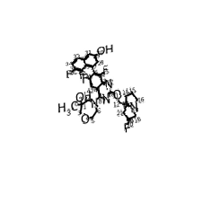 CC1(O)COCCN(c2nc(OC[C@@]34CCCN3C[C@H](F)C4)nc3c(F)c(-c4cc(O)cc5ccc(F)c(F)c45)c(F)cc23)C1